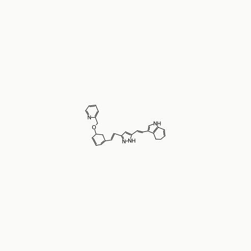 C1=CC(OCc2ccccn2)CC(/C=C/c2cc(/C=C/c3c[nH]c4c3CCC=C4)[nH]n2)=C1